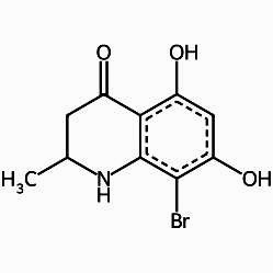 CC1CC(=O)c2c(O)cc(O)c(Br)c2N1